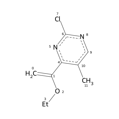 C=C(OCC)c1nc(Cl)ncc1C